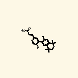 Cc1cc2c(cc1-c1cc(/C=C/C(=O)O)ncc1F)C(C)(C)CCC2(C)C